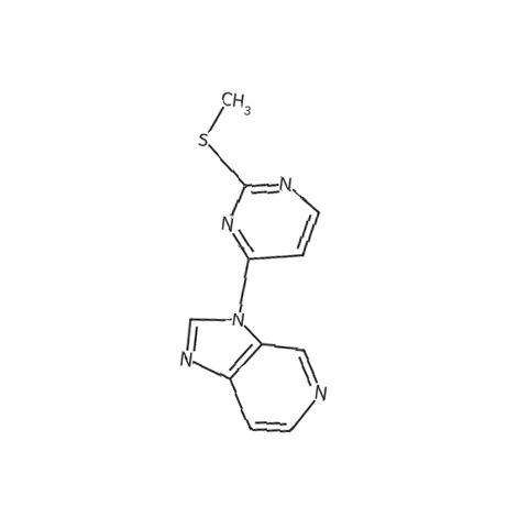 CSc1nccc(-n2cnc3ccncc32)n1